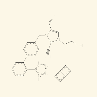 C#CC1N(CCC)C=C(C=O)N1Cc1ccc(-c2ccccc2-c2nnn[nH]2)cc1.c1cc2ccc1-2